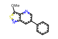 COc1snc2cc(-c3ccccc3)cnc12